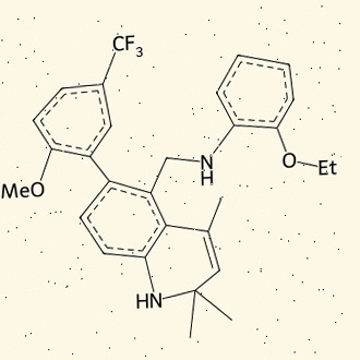 CCOc1ccccc1NCc1c(-c2cc(C(F)(F)F)ccc2OC)ccc2c1C(C)=CC(C)(C)N2